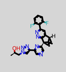 C[C@@H](O)Cn1cc(-c2cncc([C@@]34CC[C@@H](c5cc(-c6c(F)cccc6F)nnc53)C4(C)C)n2)nn1